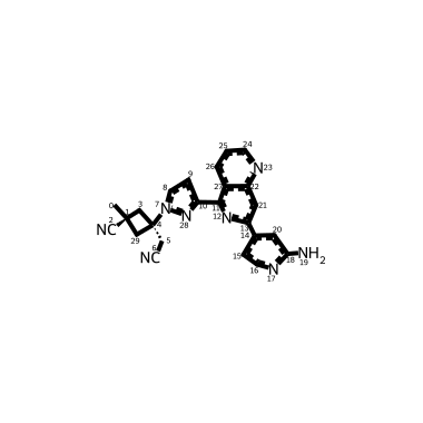 C[C@]1(C#N)C[C@@](CC#N)(n2ccc(-c3nc(-c4ccnc(N)c4)cc4ncccc34)n2)C1